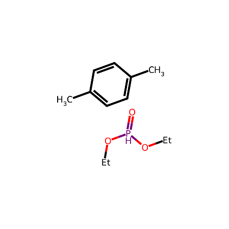 CCO[PH](=O)OCC.Cc1ccc(C)cc1